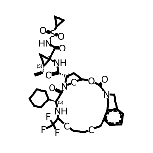 C=C[C@@H]1C[C@]1(NC(=O)[C@@H]1CC2CN1C(=O)[C@H](C1CCCCC1)NC(C(F)(F)F)CCCCCc1cccc3c1CN(C3)C(=O)O2)C(=O)NS(=O)(=O)C1CC1